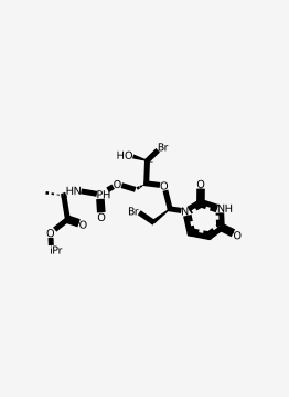 CC(C)OC(=O)[C@H](C)N[PH](=O)OC[C@@H](O[C@H](CBr)n1ccc(=O)[nH]c1=O)[C@@H](O)Br